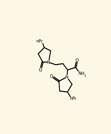 CCCC1CC(=O)N(CCC(C(N)=O)N2CC(CCC)CC2=O)C1